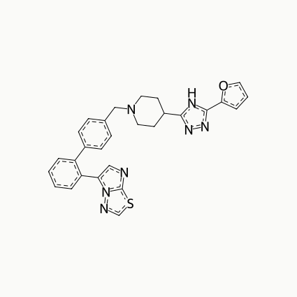 c1coc(-c2nnc(C3CCN(Cc4ccc(-c5ccccc5-c5cnc6scnn56)cc4)CC3)[nH]2)c1